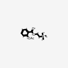 CC(=O)Oc1ccccc1C(=O)OCC[N+](C)(C)C